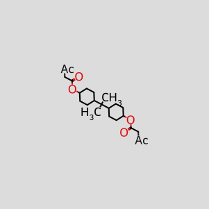 CC(=O)CC(=O)OC1CCC(C(C)(C)C2CCC(OC(=O)CC(C)=O)CC2)CC1